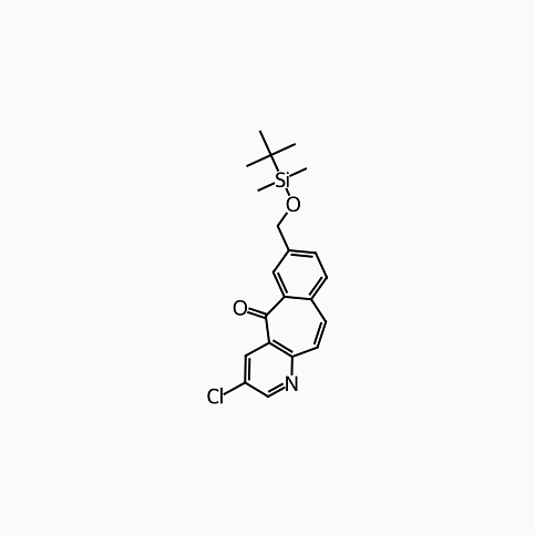 CC(C)(C)[Si](C)(C)OCc1ccc2ccc3ncc(Cl)cc3c(=O)c2c1